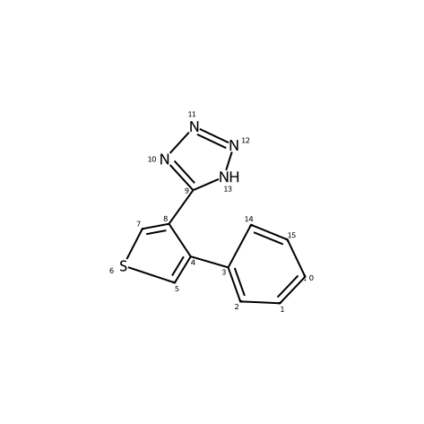 [c]1ccc(-c2cscc2-c2nnn[nH]2)cc1